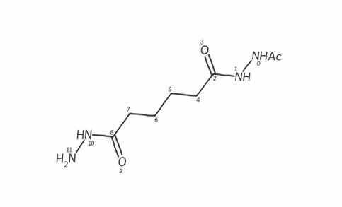 CC(=O)NNC(=O)CCCCC(=O)NN